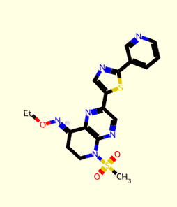 CCO/N=C1\CCN(S(C)(=O)=O)c2ncc(-c3cnc(-c4cccnc4)s3)nc21